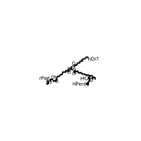 C=CC(=O)CC(CCCCCCCC(=O)OCC(COC(=O)CCCCCCC/C=C\CCCCCCCC)OC(=O)CCCCCCCC1OC1CC(O)C(CCCCC)OC(=O)C=C)C(O)CC1CC1CCCCC